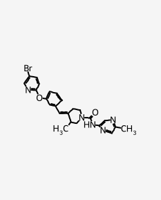 Cc1cnc(NC(=O)N2CCC(=Cc3cccc(Oc4ccc(Br)cn4)c3)C(C)C2)cn1